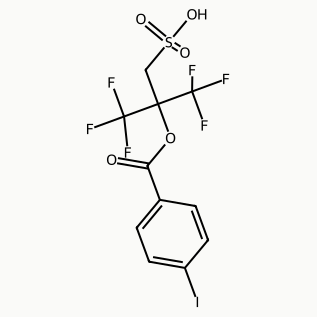 O=C(OC(CS(=O)(=O)O)(C(F)(F)F)C(F)(F)F)c1ccc(I)cc1